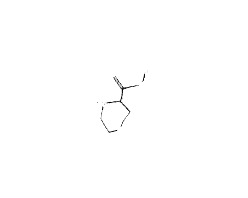 COC(=O)C1COCCN1